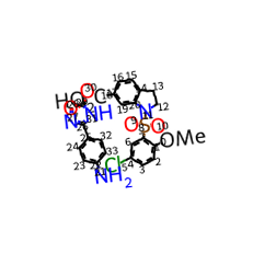 COc1ccc(Cl)cc1S(=O)(=O)N1CCc2ccc(C(=O)O)cc21.Nc1ccc(-c2noc(=O)[nH]2)cc1